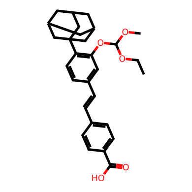 CCOC(OC)Oc1cc(/C=C/c2ccc(C(=O)O)cc2)ccc1C12CC3CC(CC(C3)C1)C2